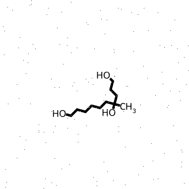 CC(O)(CCCO)CCCCCCO